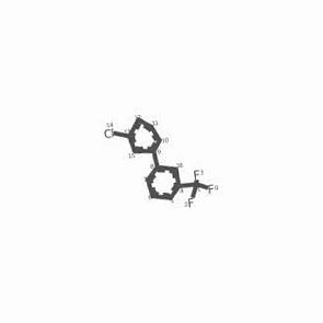 FC(F)(F)c1cccc(-c2cc[c]c(Cl)c2)c1